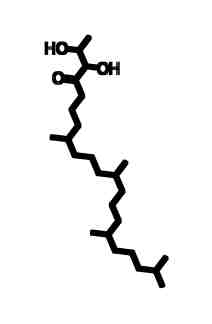 CC(C)CCCC(C)CCCC(C)CCCC(C)CCCC(=O)C(O)C(C)O